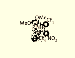 COc1cc(OC)nc(NC(=O)NS(=O)(=O)c2ncccc2C(F)(F)F)n1.O=C(O)c1cc(Oc2ccc(C(F)(F)F)cc2Cl)ccc1[N+](=O)[O-]